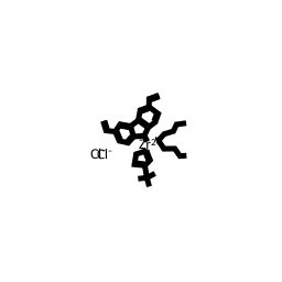 C=Cc1ccc2c(c1)-c1cc(C=C)ccc1[CH]2[Zr+2]([C]1=CC(C(C)(C)C)=CC1)=[C](CCCC)CCCC.[Cl-].[Cl-]